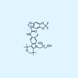 CC1(C)COC(C)(C)c2c1n(C[C@@H](O)CO)c1cc(F)c(NC(=O)[C@@]3(C)COc4cc5c(cc43)OC(F)(F)O5)cc21